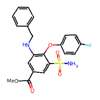 COC(=O)c1cc(NCc2ccccc2)c(Oc2ccc(F)cc2)c(S(N)(=O)=O)c1